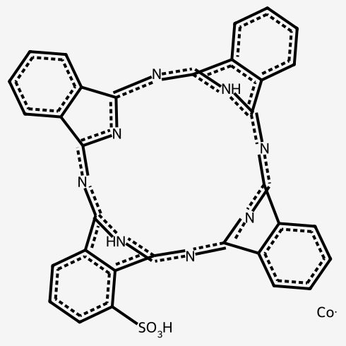 O=S(=O)(O)c1cccc2c3nc4nc(nc5[nH]c(nc6nc(nc([nH]3)c12)-c1ccccc1-6)c1ccccc51)-c1ccccc1-4.[Co]